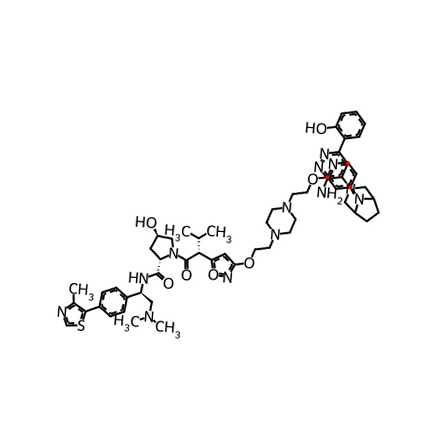 Cc1ncsc1-c1ccc([C@H](CN(C)C)NC(=O)[C@@H]2C[C@@H](O)CN2C(=O)[C@@H](c2cc(OCCN3CCN(CCOc4cc(N5C6CCC5CN(c5cc(-c7ccccc7O)nnc5N)C6)ccn4)CC3)no2)C(C)C)cc1